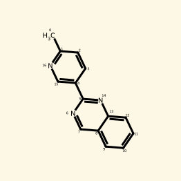 Cc1ccc(-c2ncc3ccccc3n2)cn1